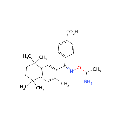 Cc1cc2c(cc1C(=NOC(C)N)c1ccc(C(=O)O)cc1)C(C)(C)CCC2(C)C